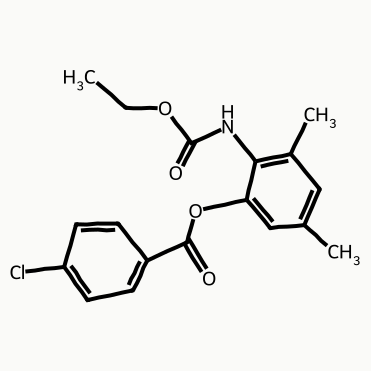 CCOC(=O)Nc1c(C)cc(C)cc1OC(=O)c1ccc(Cl)cc1